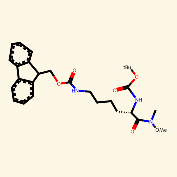 CON(C)C(=O)[C@H](CCCCNC(=O)OCC1c2ccccc2-c2ccccc21)NC(=O)OC(C)(C)C